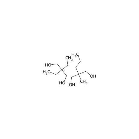 CCC(CC)(CO)CO.CCCC(C)(CO)CO